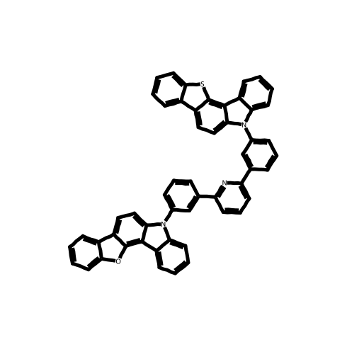 c1cc(-c2cccc(-c3cccc(-n4c5ccccc5c5c6sc7ccccc7c6ccc54)c3)n2)cc(-n2c3ccccc3c3c4oc5ccccc5c4ccc32)c1